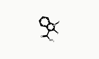 NC(=O)c1c(F)n(F)c2ccccc12